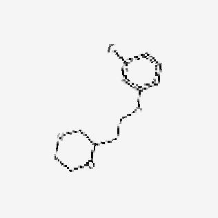 Fc1c[c]cc(OCCC2CNCCO2)c1